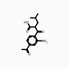 CC(=O)c1ccc(C(=O)C(CC(C)C)C(=O)O)c(N)c1